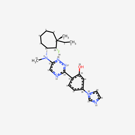 CC[C@@]1(C)CCCC[C@@H](N(C)c2cnc(-c3ccc(-n4ccnc4)cc3O)nn2)[C@H]1F